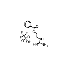 N=C(N)NCCOC(=O)c1ccccc1.O=S(=O)(O)C(F)(F)F